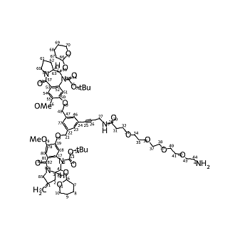 C=C1C[C@H]2C(OC3CCCCO3)N(C(=O)OC(C)(C)C)c3cc(OCc4cc(C#CCNC(=O)CCOCCOCCOCCOCCN)cc(COc5cc6c(cc5OC)C(=O)N5CCC[C@H]5[C@H](OC5CCCCO5)N6C(=O)OC(C)(C)C)c4)c(OC)cc3C(=O)N2C1